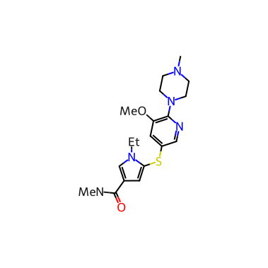 CCn1cc(C(=O)NC)cc1Sc1cnc(N2CCN(C)CC2)c(OC)c1